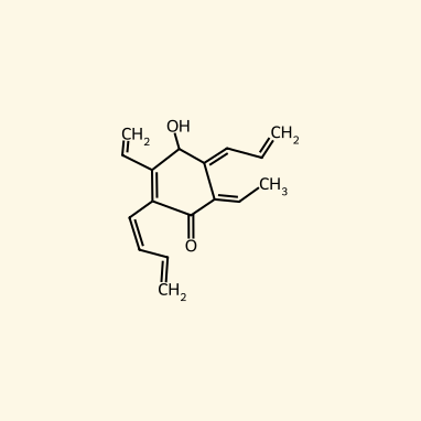 C=C/C=C\C1=C(C=C)C(O)C(=C/C=C)/C(=C\C)C1=O